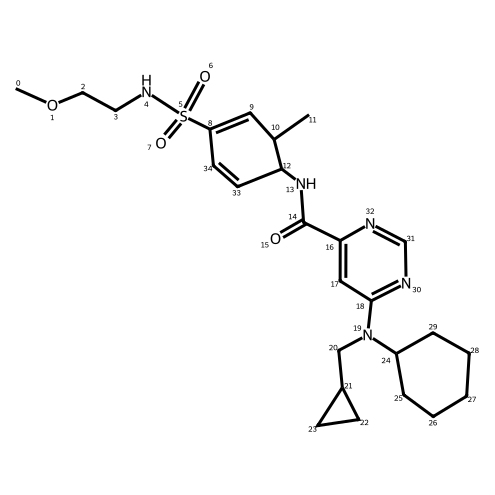 COCCNS(=O)(=O)C1=CC(C)C(NC(=O)c2cc(N(CC3CC3)C3CCCCC3)ncn2)C=C1